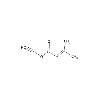 C#COC(=O)C=C(C)C